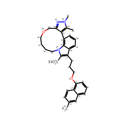 CCOC(=O)c1c(CCCOc2cccc3cc(C(F)(F)F)ccc23)c2cccc3c2n1CCCCOCc1nn(C)c(C)c1-3